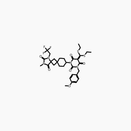 CCSC(SCC)=C1C(=O)N(Cc2ccc(OC)cc2)C(=O)N(C2CCC3(CC2)CC2(C3)C(=O)N(C)C(=O)N2CC(F)(F)F)C1=O